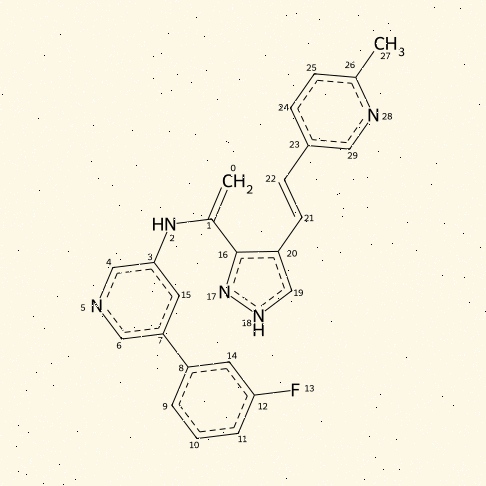 C=C(Nc1cncc(-c2cccc(F)c2)c1)c1n[nH]cc1/C=C/c1ccc(C)nc1